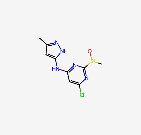 Cc1cc(Nc2cc(Cl)nc([S+](C)[O-])n2)[nH]n1